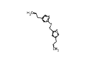 C=CCc1csc(SSc2cc(CC=C)cs2)c1